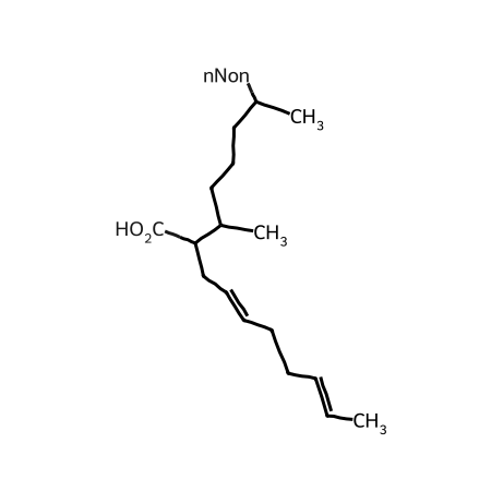 CC=CCCC=CCC(C(=O)O)C(C)CCCC(C)CCCCCCCCC